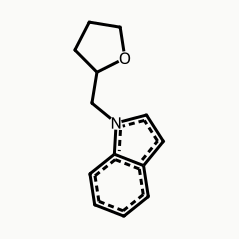 c1ccc2c(c1)ccn2CC1CCCO1